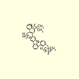 Cc1c(-c2cc3c(c[n+]2C)c2cccc4c5cc(CC(C)(C)C(F)(F)F)ccc5n3c42)cc(C(C)(C)C)c2ccccc12